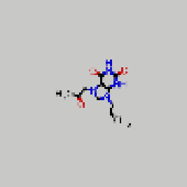 C=CCN1CN(CC(C)=O)c2c1[nH]c(=O)[nH]c2=O